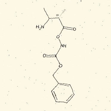 CC(N)[C@H](C)C(=O)ONC(=O)OCc1ccccc1